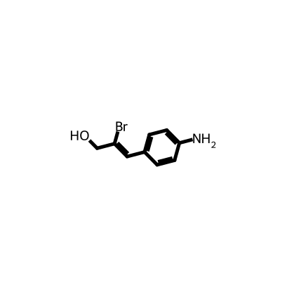 Nc1ccc(C=C(Br)CO)cc1